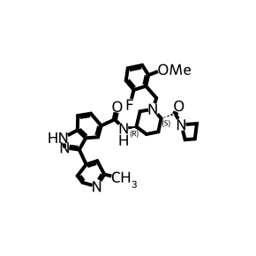 COc1cccc(F)c1CN1C[C@H](NC(=O)c2ccc3[nH]nc(-c4ccnc(C)c4)c3c2)CC[C@H]1C(=O)N1CCC1